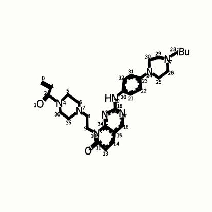 C=CC(=O)N1CCN(CCn2c(=O)ccc3cnc(Nc4ccc(N5CCN(C(C)CC)CC5)cc4)nc32)CC1